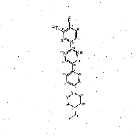 CC[C@H]1CC[C@H](c2ccc(-c3cnc(-c4ccc(F)c(F)c4)nc3)cc2)CC1